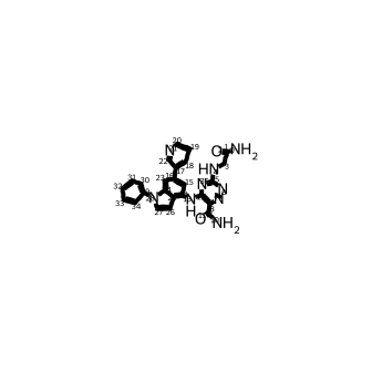 NC(=O)CNc1nnc(C(N)=O)c(Nc2cc(-c3cccnc3)cc3c2ccn3-c2ccccc2)n1